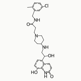 Cc1ccc(Cl)cc1CNC(=O)CCN1CCC(NCC(O)c2ccc(O)c3[nH]c(=O)ccc23)CC1